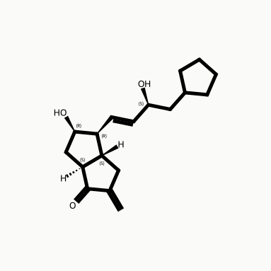 C=C1C[C@H]2[C@H](C=C[C@@H](O)CC3CCCC3)[C@H](O)C[C@@H]2C1=O